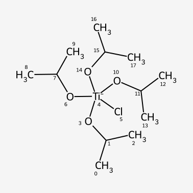 CC(C)[O][Ti-]([Cl])([O]C(C)C)([O]C(C)C)[O]C(C)C